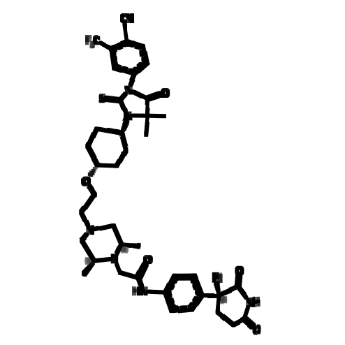 CC[C@]1(c2ccc(NC(=O)CN3[C@H](C)CN(CCO[C@H]4CC[C@H](N5C(=S)N(c6ccc(C#N)c(C(F)(F)F)c6)C(=O)C5(C)C)CC4)C[C@@H]3C)cc2)CCC(=O)NC1=O